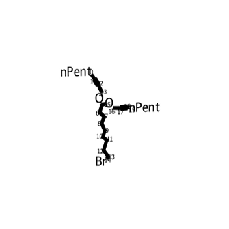 CCCCCC#CCOC(CCCCCCCCBr)OCC#CCCCCC